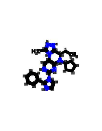 CC[C@@H]1c2nnc(C)n2-c2cnc(-n3ccnc3-c3ccccc3)nc2N1C1CCCC1